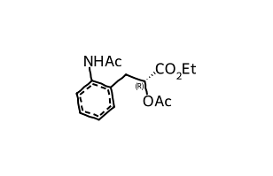 CCOC(=O)[C@@H](Cc1ccccc1NC(C)=O)OC(C)=O